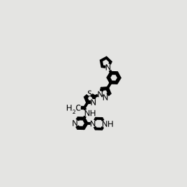 C=C(Nc1cnccc1N1CCNCC1)c1csc(-n2cc(-c3cccc(N4CCCC4)c3)cn2)n1